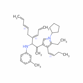 C=C/C=C/C/C(=C\C=C)C(Nc1cccc(C)c1)C(=C)c1cn(C2CCCC2)c(CC)c1/C=C\CC